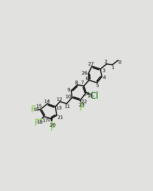 CCCc1ccc(-c2ccc(CCc3cc(F)c(F)c(F)c3)c(F)c2Cl)cc1